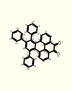 O=c1c(=O)c2cccc3c4c(-c5ccccc5)c(-c5ccccc5)cc(-c5ccccc5)c4c4cccc1c4c23